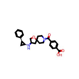 O=C(O)c1ccc(C(=O)N2CCC3(CC2)CC(N[C@@H]2C[C@H]2c2ccccc2)CO3)cc1